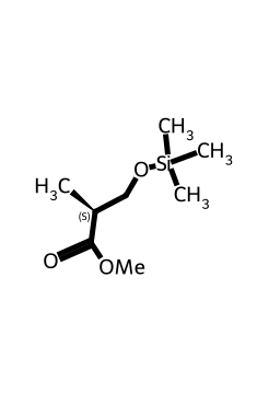 COC(=O)[C@@H](C)CO[Si](C)(C)C